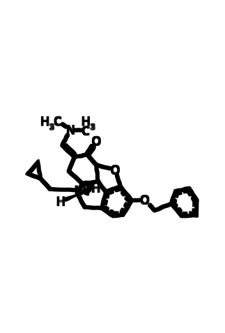 CN(C)C=C1C[C@@]2(O)[C@H]3Cc4ccc(OCc5ccccc5)c5c4[C@@]2(CCN3CC2CC2)C(O5)C1=O